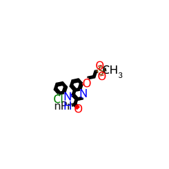 CCCC(=O)c1cnc2c(OCCCS(C)(=O)=O)cccc2c1Nc1ccccc1Cl